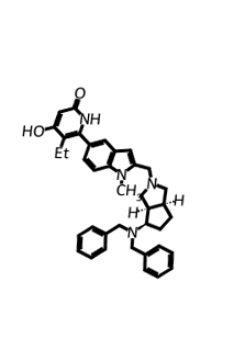 CCc1c(O)cc(=O)[nH]c1-c1ccc2c(c1)cc(CN1C[C@H]3CC[C@@H](N(Cc4ccccc4)Cc4ccccc4)[C@H]3C1)n2C